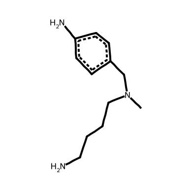 CN(CCCCN)Cc1ccc(N)cc1